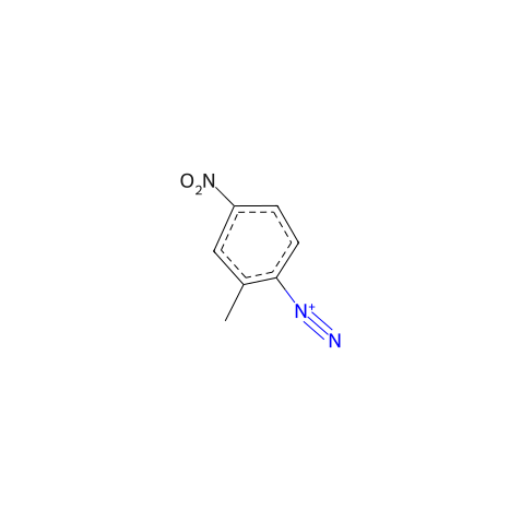 Cc1cc([N+](=O)[O-])ccc1[N+]#N